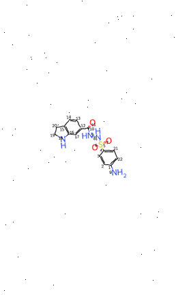 Nc1ccc(S(=O)(=O)NNC(=O)c2ccc3c(c2)NCC3)cc1